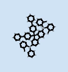 Cc1ccccc1N(c1ccccc1)c1ccc2c(c1)C(c1ccc(-c3ccccc3)cc1)(c1ccc(-c3ccccc3)cc1)c1cc(N(c3ccccc3C)c3ccccc3C)ccc1-2